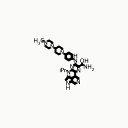 CC(C)Nc1nc(Nc2ccc(N3CCC(N4CCN(C)CC4)CC3)cc2)c(C(N)O)nc1-c1cncc2[nH]ccc12